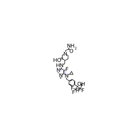 C=N/C(=C(F)\C(=N/C)NCC1CCN(CC(N)=O)C[C@H]1O)N(Cc1ccc(C(O)(C(F)(F)F)C(F)(F)F)cc1)C1CC1